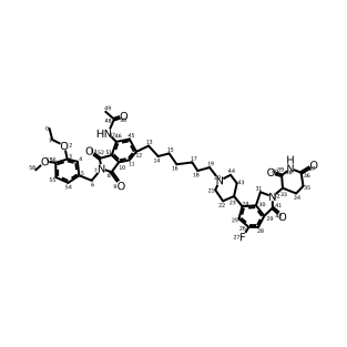 CCOc1cc(CN2C(=O)c3cc(CCCCCCCN4CCC(c5cc(F)cc6c5CN(C5CCC(=O)NC5=O)C6=O)CC4)cc(NC(C)=O)c3C2=O)ccc1OC